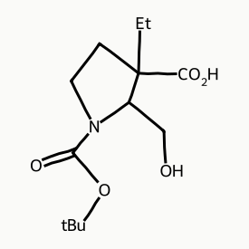 CCC1(C(=O)O)CCN(C(=O)OC(C)(C)C)C1CO